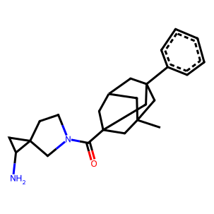 CC12CC3CC(C(=O)N4CCC5(CC5N)C4)(C1)CC(c1ccccc1)(C3)C2